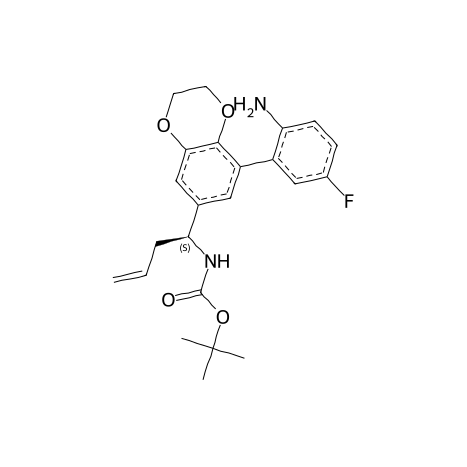 C=CC[C@H](NC(=O)OC(C)(C)C)c1cc2c(c(-c3cc(F)ccc3N)c1)OCCO2